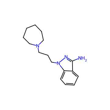 Nc1nn(CCCN2CCCCCC2)c2ccccc12